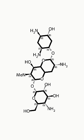 CN[C@@H]1[C@@H](O[C@H]2O[C@H](CO)[C@@H](N)[C@H](O)[C@H]2O)OC2C[C@@H](N)[C@@H](O[C@H]3C[C@@H](O)[C@H](N)C[C@@H]3N)OC2[C@@H]1O